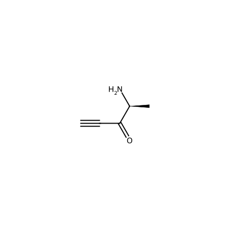 C#CC(=O)[C@H](C)N